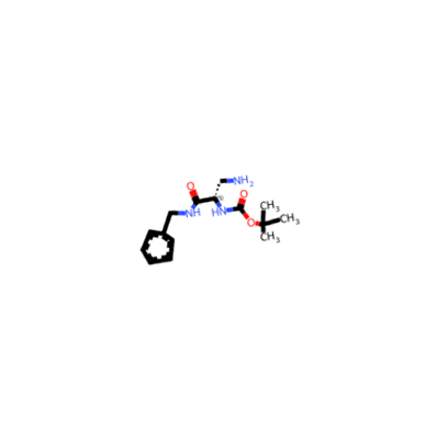 CC(C)(C)OC(=O)N[C@@H](CN)C(=O)NCc1ccccc1